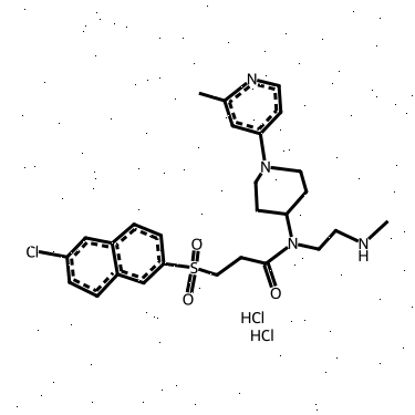 CNCCN(C(=O)CCS(=O)(=O)c1ccc2cc(Cl)ccc2c1)C1CCN(c2ccnc(C)c2)CC1.Cl.Cl